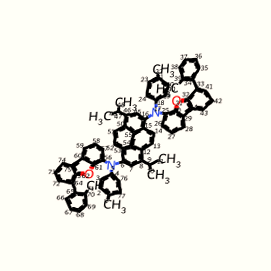 Cc1ccc(N(c2cc(C(C)C)c3ccc4c(N(c5ccc(C)cc5)c5cccc6c5oc5c(-c7ccccc7C)cccc56)cc(C(C)C)c5ccc2c3c54)c2cccc3c2oc2c(-c4ccccc4C)cccc23)cc1